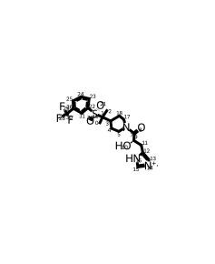 CC(C)(C1CCN(C(=O)[C@@H](O)CC2=C[N+]=CN2)CC1)S(=O)(=O)c1cccc(C(F)(F)F)c1